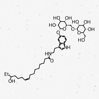 CCC(O)CCC/C=C\CCCCCCCC(=O)NCCc1c[nH]c2ccc(O[C@H]3O[C@H](CO[C@H]4O[C@H](CO)[C@@H](O)[C@H](O)[C@H]4O)[C@@H](O)[C@H](O)[C@H]3O)cc12